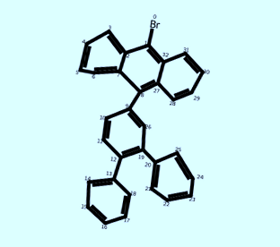 Brc1c2ccccc2c(-c2ccc(-c3ccccc3)c(-c3ccccc3)c2)c2ccccc12